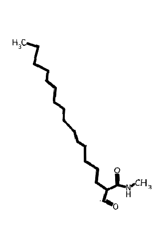 CCCCCCCCCCCCCCCC([C]=O)C(=O)NC